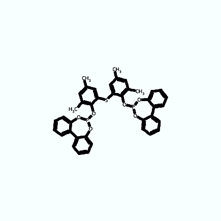 Cc1cc(C)c(Op2oc3ccccc3c3ccccc3o2)c(Sc2cc(C)cc(C)c2Op2oc3ccccc3c3ccccc3o2)c1